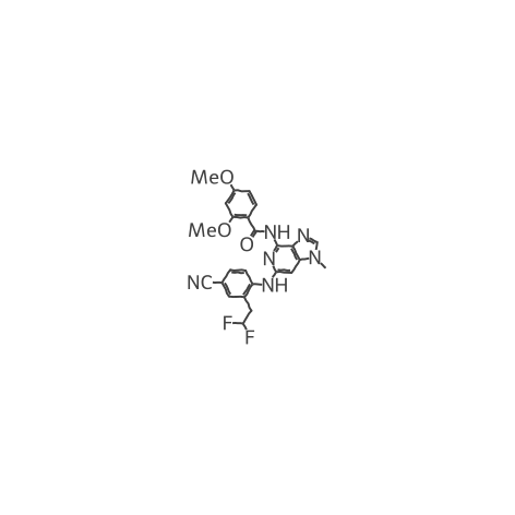 COc1ccc(C(=O)Nc2nc(Nc3ccc(C#N)cc3CC(F)F)cc3c2ncn3C)c(OC)c1